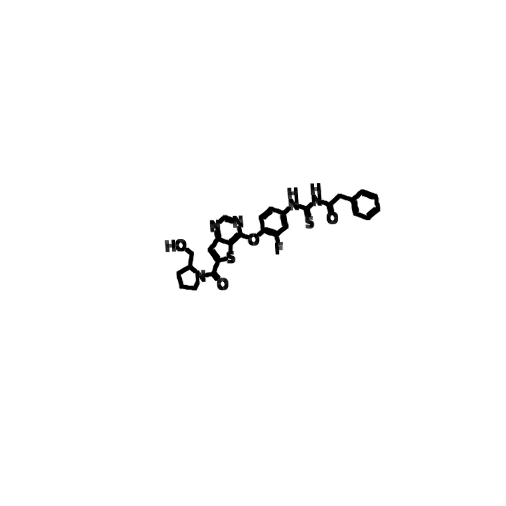 O=C(Cc1ccccc1)NC(=S)Nc1ccc(Oc2ncnc3cc(C(=O)N4CCCC4CO)sc23)c(F)c1